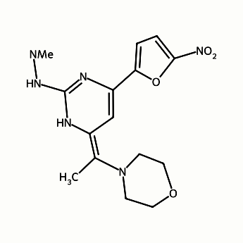 CNNC1=NC(c2ccc([N+](=O)[O-])o2)=CC(=C(C)N2CCOCC2)N1